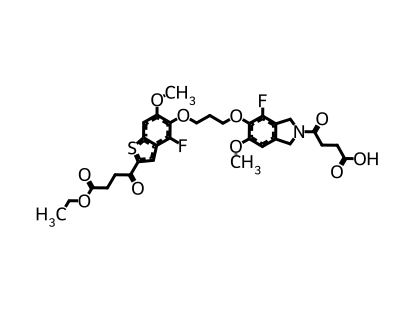 CCOC(=O)CCC(=O)c1cc2c(F)c(OCCCOc3c(OC)cc4c(c3F)CN(C(=O)CCC(=O)O)C4)c(OC)cc2s1